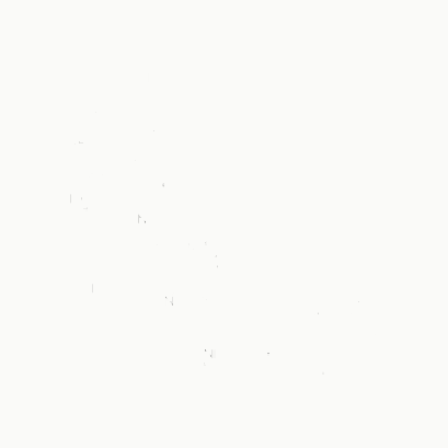 CC(NC(=O)C(N)CCc1ccccc1)C(=O)NCc1cc(Cl)ccc1O